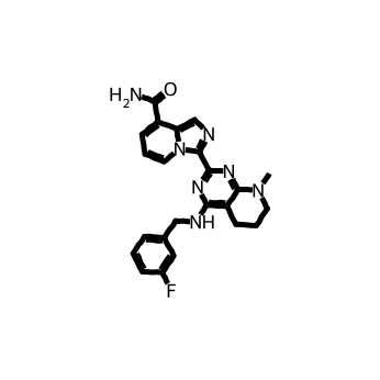 CN1CCCc2c(NCc3cccc(F)c3)nc(-c3ncc4c(C(N)=O)cccn34)nc21